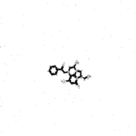 Cc1cc(=O)n2c3c1N(CC(=O)c1ccccc1)CC(O)N3C[C@H]2CO